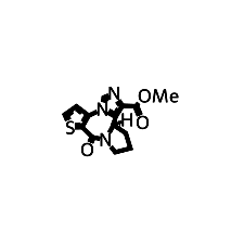 COC(=O)c1ncn2c1[C@@H]1CCCN1C(=O)c1sccc1-2